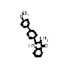 Cc1c(-c2ccc(-c3ccc(OC(F)(F)F)cc3)cc2)[nH]c2ccccc2c1=O